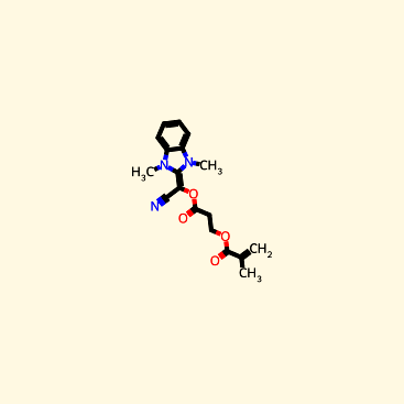 C=C(C)C(=O)OCCC(=O)OC(C#N)=C1N(C)c2ccccc2N1C